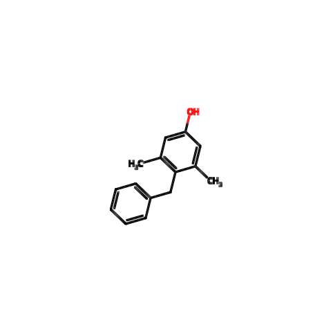 Cc1cc(O)cc(C)c1Cc1ccccc1